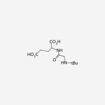 CC(C)(C)NCC(=O)NC(CCC(=O)O)C(=O)O